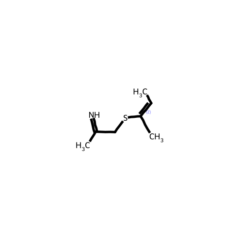 C/C=C(/C)SCC(C)=N